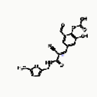 Cc1ccc(CNC(=O)/C(C#N)=C/c2cc(O)c(OC(=O)O)c(C=O)c2)o1